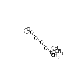 CC(C)N(C)CCOCCOCCOCCOC1CCCCO1